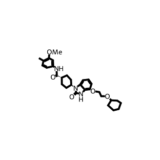 COc1cc(NC(=O)[C@H]2CC[C@@H](n3c(=O)[nH]c4c(OCCOC5CCCCC5)cccc43)CC2)ccc1C